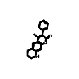 Cc1c(-c2ccccc2)c(=O)oc2cc3c(cc12)CCCN3